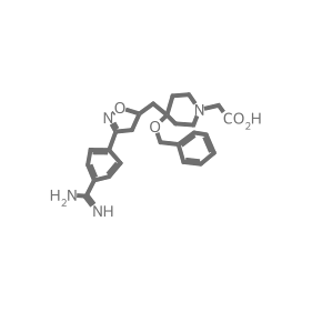 N=C(N)c1ccc(C2=NOC(CC3(OCc4ccccc4)CCN(CC(=O)O)CC3)C2)cc1